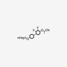 CCCCCCCOc1ccc(-c2ccc(OC(C)C#N)c(F)c2F)cc1